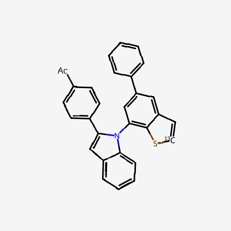 CC(=O)c1ccc(-c2cc3ccccc3n2-c2cc(-c3ccccc3)cc3c[13cH]sc23)cc1